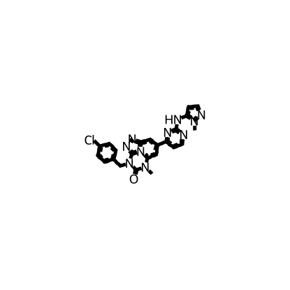 CN1C(=O)N(Cc2ccc(Cl)cc2)c2nnc3cc(-c4ccnc(Nc5ccnn5C)n4)cc1n23